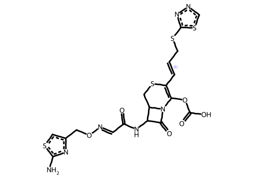 Nc1nc(CON=CC(=O)NC2C(=O)N3C(OC(=O)O)=C(/C=C/CSc4nncs4)SCC23)cs1